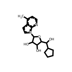 Cc1ccnc2c1ccn2C1OC(C(O)C2CCCC2)C(O)C1O